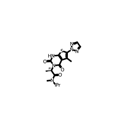 Cc1c(-n2nccn2)sc2[nH]c(=O)n([C@H](C)C(=O)N(C)C(C)C)c(=O)c12